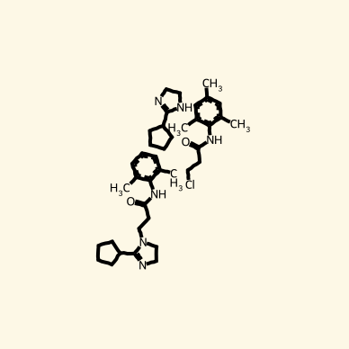 C1CCC(C2=NCCN2)C1.Cc1cc(C)c(NC(=O)CCCl)c(C)c1.Cc1cccc(C)c1NC(=O)CCN1CCN=C1C1CCCC1